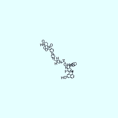 C#Cc1cccc2cc(O)cc(-c3ncc4c(N5CC6CCC(C5)N6)nc(OCC5(CN6C[C@@H]7[C@@H](CN8CCN(c9ccc%10c(c9)C(=O)N(C9CCC(=O)NC9=O)C%10=O)CC8)[C@@H]7C6)CC5)nc4c3F)c12